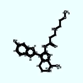 COCCNCCC(=O)Nc1sc2c(c1-c1nc3cc(F)ccc3s1)CCNC2C